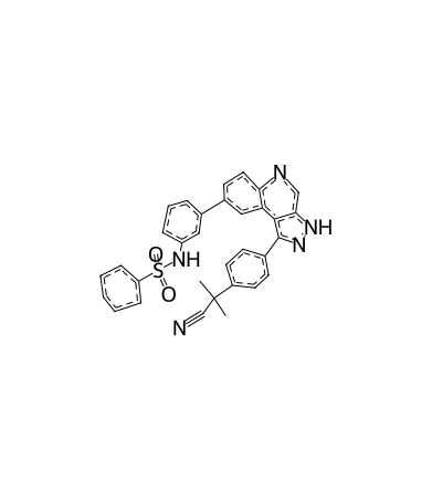 CC(C)(C#N)c1ccc(-c2n[nH]c3cnc4ccc(-c5cccc(NS(=O)(=O)c6ccccc6)c5)cc4c23)cc1